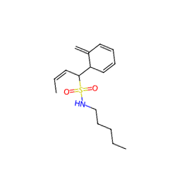 C=C1C=CC=CC1C(/C=C\C)S(=O)(=O)NCCCCC